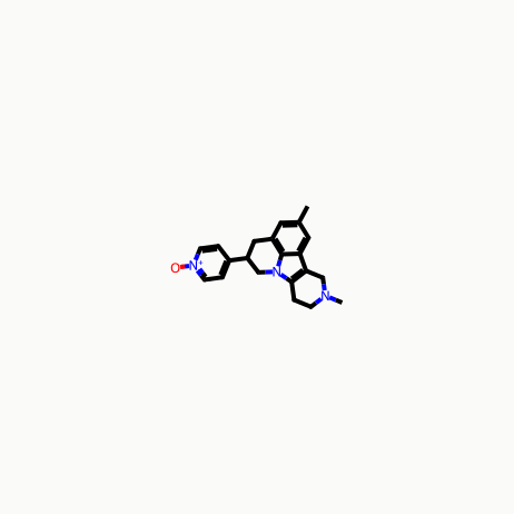 Cc1cc2c3c(c1)c1c(n3CC(c3cc[n+]([O-])cc3)C2)CCN(C)C1